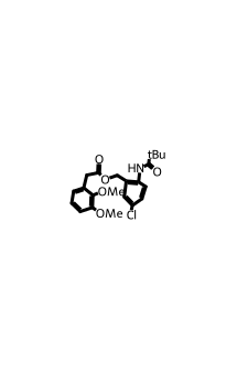 COc1cccc(CC(=O)OCc2cc(Cl)ccc2NC(=O)C(C)(C)C)c1OC